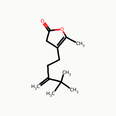 C=C(CCC1=C(C)OC(=O)C1)C(C)(C)C